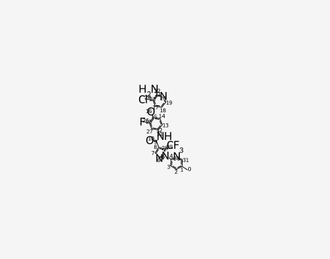 Cc1ccc(-n2ncc(C(=O)Nc3ccc(Oc4ccnc(N)c4Cl)c(F)c3)c2C(F)(F)F)nc1